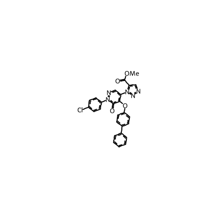 COC(=O)c1cnnn1-c1cnn(-c2ccc(Cl)cc2)c(=O)c1Oc1ccc(-c2ccccc2)cc1